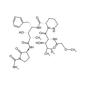 COCC(=O)N[C@@H](C(=O)N1NCCC[C@H]1C(=O)N[C@@H](Cc1ccccc1)[C@@H](O)[C@H](C)C(=O)N[C@H]1CCN(C(N)=O)C1=O)[C@H](O)C(C)C